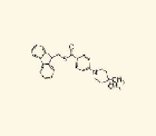 CC1(C)CCN(c2ccc(C(=O)SCC3c4ccccc4-c4ccccc43)cc2)CC1